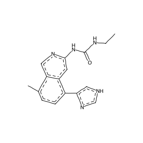 CCNC(=O)Nc1cc2c(-c3c[nH]cn3)ccc(C)c2cn1